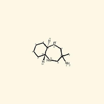 CC1(N)CN[C@@H]2CCCC[C@H]2NC1